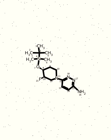 CC(C)(C)[Si](C)(C)O[C@H]1CCN(c2ccc(N)nn2)C[C@H]1F